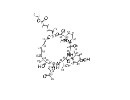 CCOC(=O)/C=C/C=C(\C)[C@@H]1C/C=C/C=C/C(C)[C@H](C)[C@@H](O)[C@@H](CCC(C)=O)C(=O)N[C@@H](C(C)C)C(=O)N[C@@H](Cc2cccc(O)c2)C(=O)N2CCCC(N2)C(=O)O1